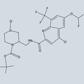 CC(C)(C)OC(=O)N1CC[S+]([O-])CC1CNC(=O)c1cc(Cl)c2cc(OC(F)F)cc(C(F)(F)F)c2n1